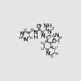 Nc1nc(-c2ncco2)c(-c2ccc3ncccc3c2)nc1C(=O)NCc1cncnc1